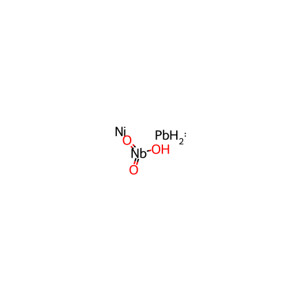 [Ni].[O]=[Nb](=[O])[OH].[PbH2]